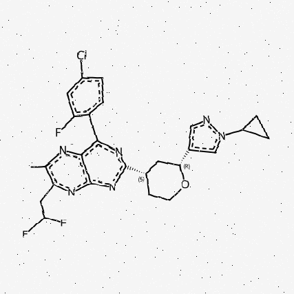 Cc1nc2c(-c3ccc(Cl)cc3F)nc([C@H]3CCO[C@@H](c4cnn(C5CC5)c4)C3)nc2nc1CC(F)F